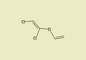 C=COC(Cl)=CCl